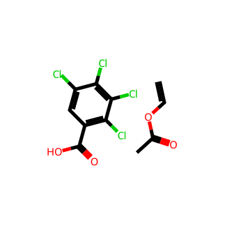 C=COC(C)=O.O=C(O)c1cc(Cl)c(Cl)c(Cl)c1Cl